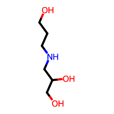 OCCCNCC(O)CO